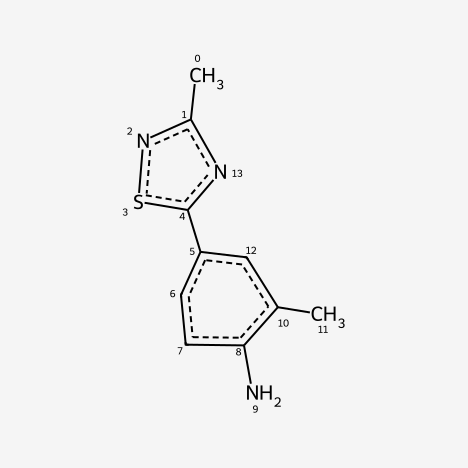 Cc1nsc(-c2ccc(N)c(C)c2)n1